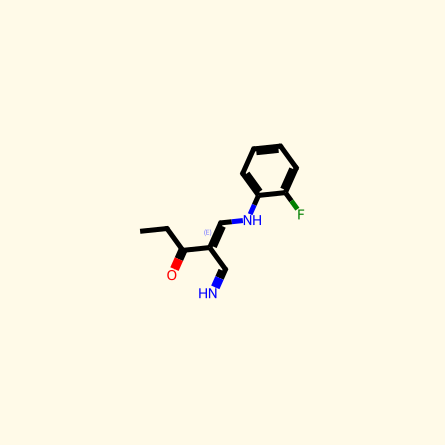 CCC(=O)/C(C=N)=C/Nc1ccccc1F